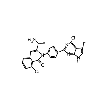 C[C@H](N)c1cc2cccc(Cl)c2c(=O)n1-c1ccc(-c2nc(Cl)c3c(F)c[nH]c3n2)cc1